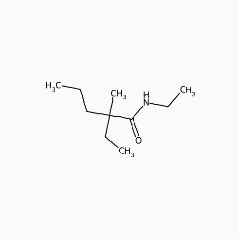 CCCC(C)(CC)C(=O)NCC